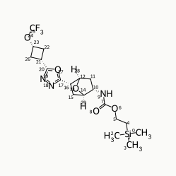 C[Si](C)(C)CCOC(=O)N[C@H]1C[C@H]2O[C@@H]1C[C@@H]2c1nnc([C@H]2C[C@@H](OC(F)(F)F)C2)o1